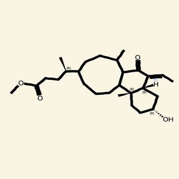 C/C=C1/C(=O)C2C(C)CCC([C@H](C)CCC(=O)OC)CCCC2[C@@]2(C)CC[C@@H](O)C[C@@H]12